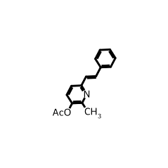 CC(=O)Oc1ccc(C=Cc2ccccc2)nc1C